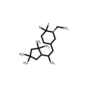 CC[C@H]1CC(CC(C)C2CC(C)(C)CC2(C)C)CCC1(F)F